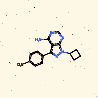 Nc1ncnc2c1c(-c1ccc([N+](=O)[O-])cc1)nn2C1CCC1